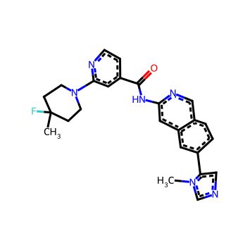 Cn1cncc1-c1ccc2cnc(NC(=O)c3ccnc(N4CCC(C)(F)CC4)c3)cc2c1